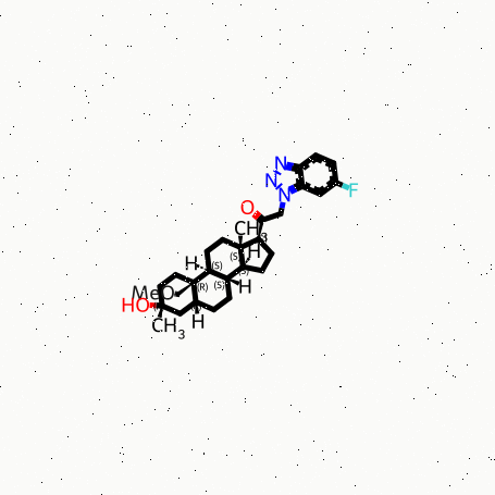 COC[C@]12CC[C@@](C)(O)C[C@H]1CC[C@H]1[C@@H]3CC[C@H](C(=O)Cn4nnc5ccc(F)cc54)[C@@]3(C)CC[C@@H]12